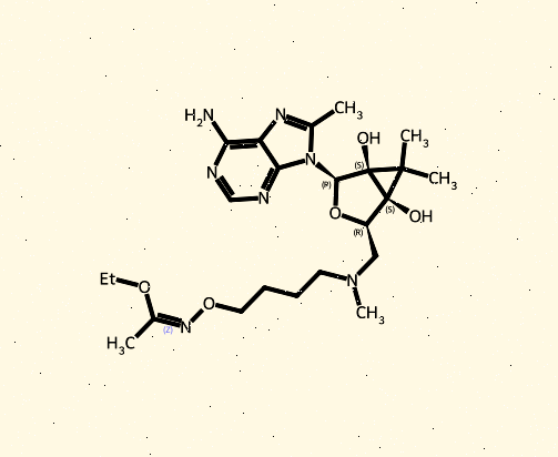 CCO/C(C)=N\OCCCCN(C)C[C@H]1O[C@@H](n2c(C)nc3c(N)ncnc32)[C@]2(O)C(C)(C)[C@]12O